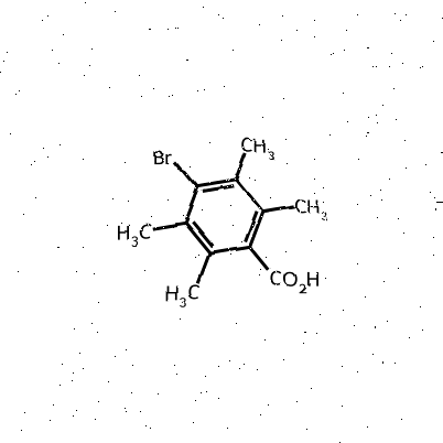 Cc1c(C)c(C(=O)O)c(C)c(C)c1Br